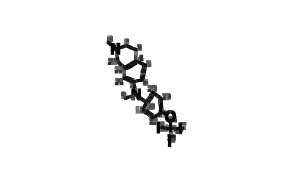 CN1CCc2ccc(N(C)c3ccc(OC(F)(F)F)cc3)cc2C1